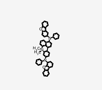 C[Si]1(C)c2cc(N(c3ccccc3)c3cccc4c3oc3ccccc34)ccc2-c2ccc(N(c3ccccc3)c3ccc4oc5ccccc5c4c3)c3cccc1c23